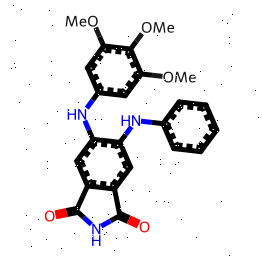 COc1cc(Nc2cc3c(cc2Nc2ccccc2)C(=O)NC3=O)cc(OC)c1OC